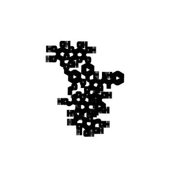 CCOc1cc(COCC2OC(OC3C(CO)OC(Oc4ccc(C[C@H](NC(=O)[C@@H](N)C(C)c5ccccc5)C(=O)N[C@H](C(=O)N[C@H](C(=O)N[C@H]([C]=O)CO)C(O)C5CNC(=N)N5C5OC(CO)C(O)C(O)C5O)C(O)C5CNC(=N)N5)cc4)C(O)C3O)C(O)C(O)C2O)ccc1OC